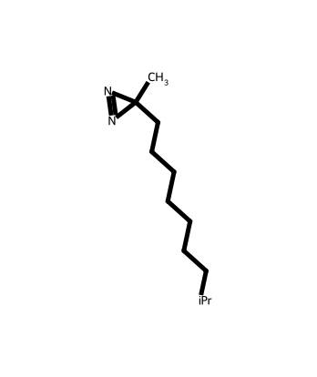 CC(C)CCCCCCCC1(C)N=N1